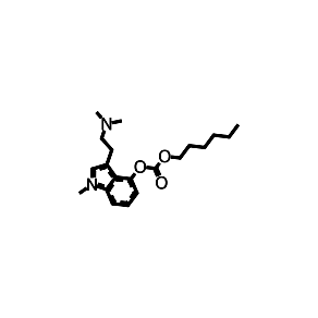 CCCCCCOC(=O)Oc1cccc2c1c(CCN(C)C)cn2C